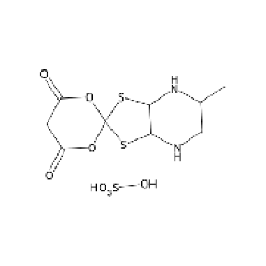 CC1CNC2SC3(OC(=O)CC(=O)O3)SC2N1.O=S(=O)(O)O